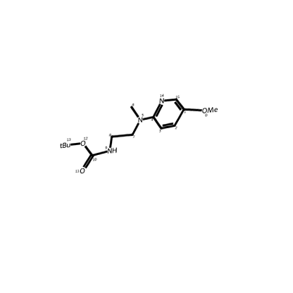 COc1ccc(N(C)CCNC(=O)OC(C)(C)C)nc1